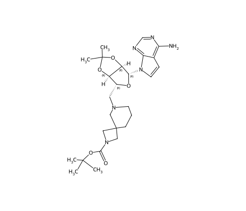 CC(C)(C)OC(=O)N1CC2(CCCN(C[C@H]3O[C@@H](n4ccc5c(N)ncnc54)[C@@H]4OC(C)(C)O[C@@H]43)C2)C1